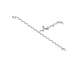 CCCCCCCCCCCCCCCC(CCCCCCCCCCCCCCC)COC(=O)NCCCOCCOC